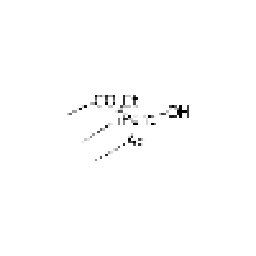 CC(C)=O.CCCCCC.CCOC(C)=O.CO